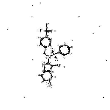 Cc1c(N(Cc2ccc(C(F)(F)F)cc2)S(=O)(=O)c2ccccc2)nc2ccc(Cl)cn12